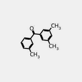 Cc1cccc(C(=O)c2cc(C)cc(C)c2)c1